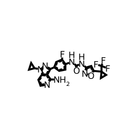 Nc1nccc2c1c(-c1ccc(NC(=O)Nc3cc(C4(C(F)(F)F)CC4)on3)c(F)c1)nn2C1CC1